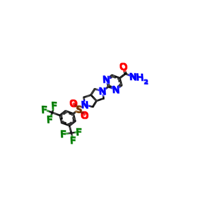 NC(=O)c1cnc(N2CC3CN(S(=O)(=O)c4cc(C(F)(F)F)cc(C(F)(F)F)c4)CC3C2)nc1